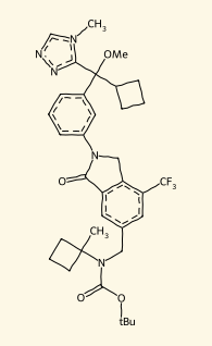 COC(c1cccc(N2Cc3c(cc(CN(C(=O)OC(C)(C)C)C4(C)CCC4)cc3C(F)(F)F)C2=O)c1)(c1nncn1C)C1CCC1